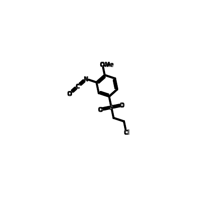 COc1ccc(S(=O)(=O)CCCl)cc1N=C=O